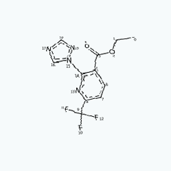 CCOC(=O)c1ccc(C(F)(F)F)nc1-n1cncn1